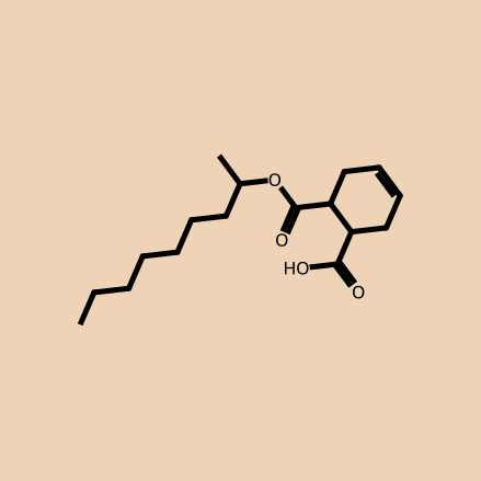 CCCCCCCC(C)OC(=O)C1CC=CCC1C(=O)O